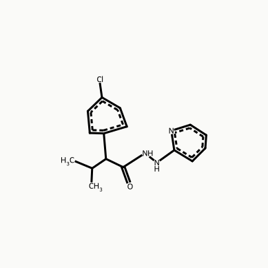 CC(C)C(C(=O)NNc1ccccn1)c1ccc(Cl)cc1